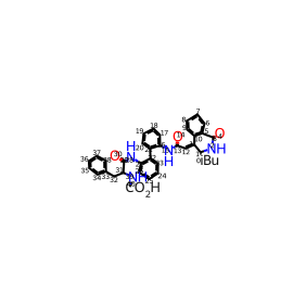 CCC(C)C1NC(=O)c2ccccc2C1=CC(=O)Nc1ccccc1-c1ccccc1NC(=O)C(Cc1ccccc1)NC(=O)O